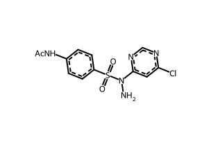 CC(=O)Nc1ccc(S(=O)(=O)N(N)c2cc(Cl)ncn2)cc1